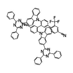 N#Cc1ccc(-n2c3ccccc3c3cc(-c4nc(-c5ccccc5)nc(-c5ccccc5)n4)ccc32)c(-c2cc(-c3ccc(C#N)cc3C(F)(F)F)ccc2-n2c3ccccc3c3cc(-c4nc(-c5ccccc5)nc(-c5ccccc5)n4)ccc32)c1